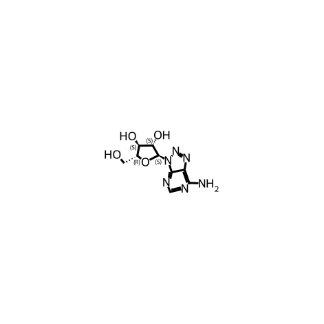 Nc1ncnc2c1nnn2[C@H]1O[C@H](CO)[C@@H](O)[C@@H]1O